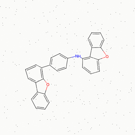 c1ccc2c(c1)oc1c(-c3ccc(Nc4cccc5oc6ccccc6c45)cc3)cccc12